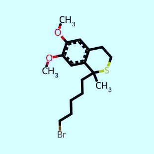 COc1cc2c(cc1OC)C(C)(CCCCCBr)SCC2